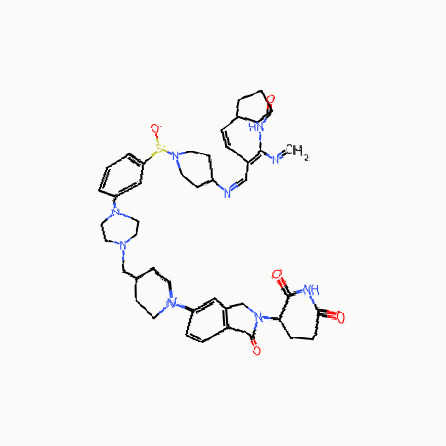 C=N/C(NC=O)=C(/C=C\C1CCCC1)\C=N/C1CCN([S+]([O-])c2cccc(N3CCN(CC4CCN(c5ccc6c(c5)CN(C5CCC(=O)NC5=O)C6=O)CC4)CC3)c2)CC1